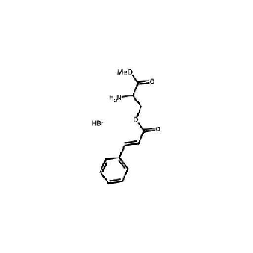 Br.COC(=O)C(N)COC(=O)C=Cc1ccccc1